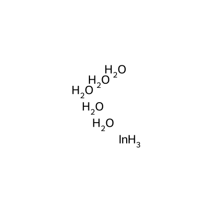 O.O.O.O.O.[InH3]